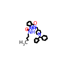 CCCCCNC(=O)Nc1ccccc1C(=O)NCC1CCN(C(c2ccccc2)c2ccccc2)CC1